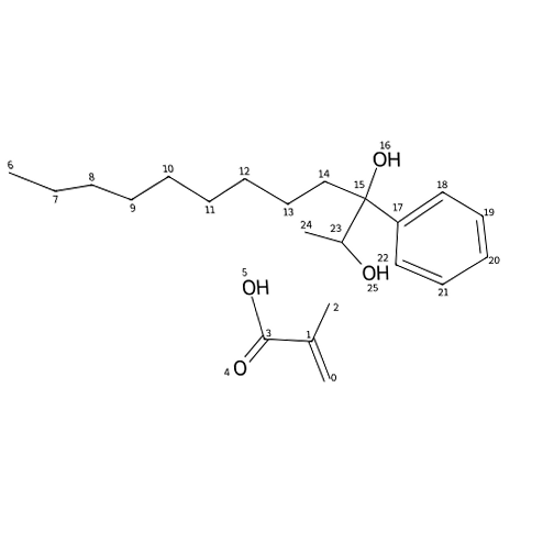 C=C(C)C(=O)O.CCCCCCCCCC(O)(c1ccccc1)C(C)O